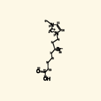 CN1[C+]N(CCCCCCCC(=O)O)C=C1.[Br-]